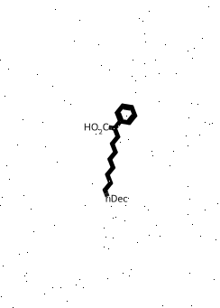 CCCCCCCCCCCCCCCCCCC(C(=O)O)c1ccccc1